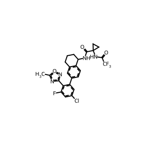 Cc1nc(-c2c(F)cc(Cl)cc2-c2ccc3c(c2)CCCC3NC(=O)C2(NC(=O)C(F)(F)F)CC2)no1